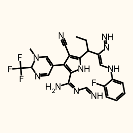 CCC(/C(=C/Nc1ccccc1F)N=N)c1[nH]c(/C(N)=N\C=N)c(C2=CN(C)C(C(F)(F)F)N=C2)c1C#N